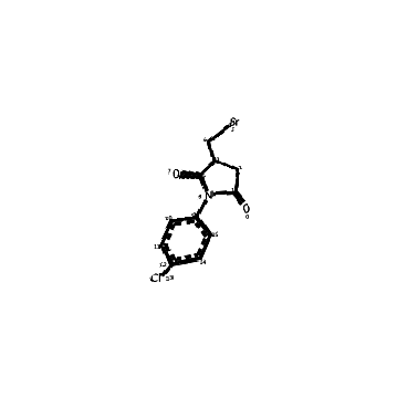 O=C1CC(CBr)C(=O)N1c1ccc(Cl)cc1